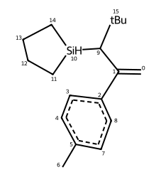 C=C(c1ccc(C)cc1)C([SiH]1CCCC1)C(C)(C)C